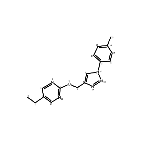 CCc1cnc(OCc2cn(-c3ccc(C)cc3)nn2)nc1